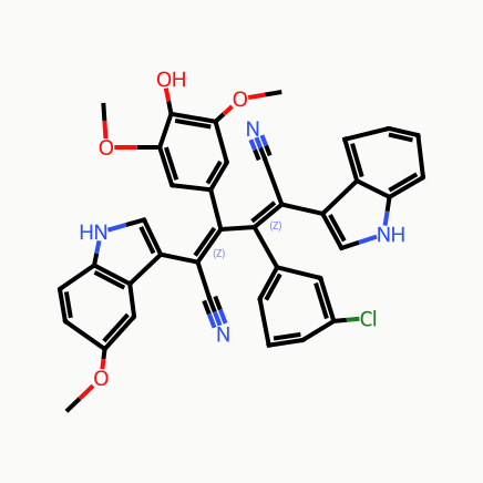 COc1ccc2[nH]cc(/C(C#N)=C(/C(=C(\C#N)c3c[nH]c4ccccc34)c3cccc(Cl)c3)c3cc(OC)c(O)c(OC)c3)c2c1